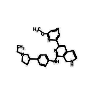 CCN1CCC(c2ccc(Nc3nc(-c4cncc(OC)n4)cc4c3CNC=C4)cc2)C1